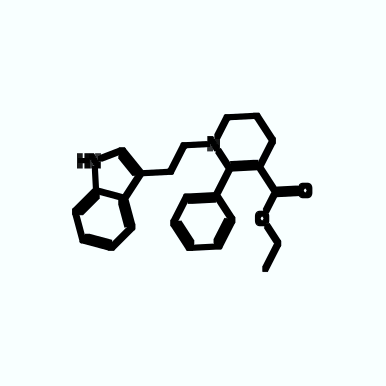 CCOC(=O)C1=C(c2ccccc2)N(CCc2c[nH]c3ccccc23)CCC1